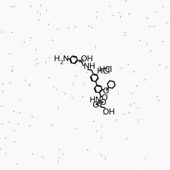 Cl.Cl.Nc1ccc([C@H](O)CNCCc2ccc(-c3ccc(C(=O)NS(=O)(=O)CCO)c(OC4CCCCC4)c3)cc2)cc1